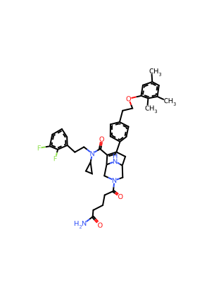 Cc1cc(C)c(C)c(OCCc2ccc(C3=C(C(=O)N(CCc4cccc(F)c4F)C4CC4)C4CN(C(=O)CCCC(N)=O)CC(C3)N4)cc2)c1